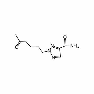 CC(=O)CCCCn1ncc(C(N)=O)n1